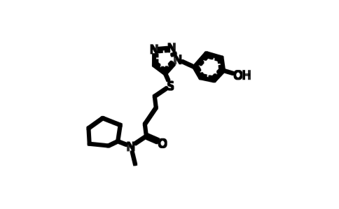 CN(C(=O)CCCSc1cnnn1-c1ccc(O)cc1)C1CCCCC1